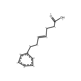 O=C(O)CCC=CCCc1ccccc1